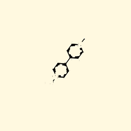 C[n+]1ccc(-c2cc[n+](C(C)(C)C)cc2)cc1